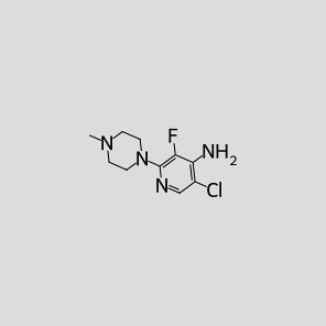 CN1CCN(c2ncc(Cl)c(N)c2F)CC1